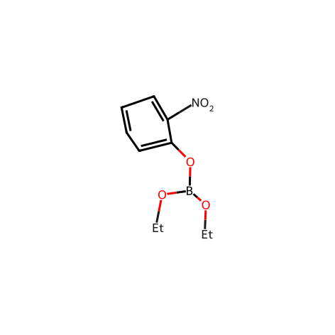 CCOB(OCC)Oc1ccccc1[N+](=O)[O-]